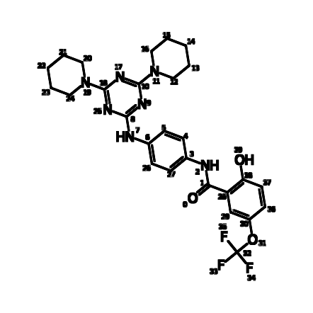 O=C(Nc1ccc(Nc2nc(N3CCCCC3)nc(N3CCCCC3)n2)cc1)c1cc(OC(F)(F)F)ccc1O